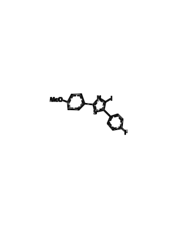 COc1ccc(-c2nc(I)c(-c3ccc(F)cc3)s2)cc1